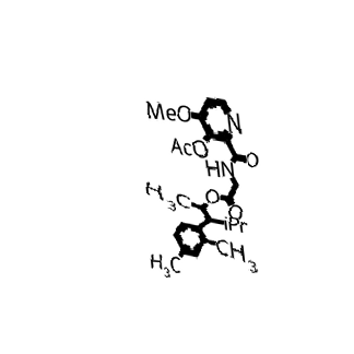 COc1ccnc(C(=O)NCC(=O)OC(C)C(c2ccc(C)cc2C)C(C)C)c1OC(C)=O